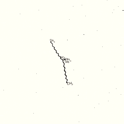 CCCCCCCCCCCCC(CCCCCCCCCCCC)C(N)(O)O